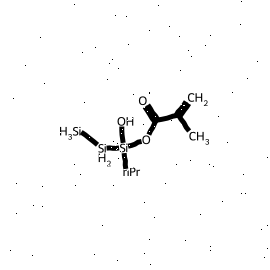 C=C(C)C(=O)O[Si](O)(CCC)[SiH2][SiH3]